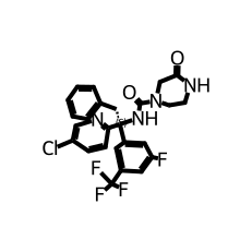 O=C1CN(C(=O)N[C@@](Cc2ccccc2)(c2cc(F)cc(C(F)(F)F)c2)c2ccc(Cl)cn2)CCN1